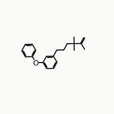 C=C(C)C(C)(C)CCCc1cccc(Oc2ccccc2)c1